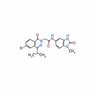 CC(C)c1nn(CC(=O)Nc2ccc3c(c2)[nH]c(=O)n3C)c(=O)c2ccc(Br)cc12